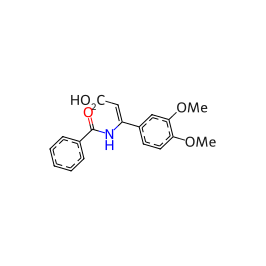 COc1ccc(C(=CC(=O)O)NC(=O)c2ccccc2)cc1OC